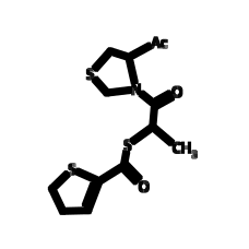 CC(=O)C1CSCN1C(=O)C(C)SC(=O)C1=CCCS1